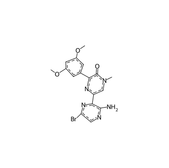 COc1cc(OC)cc(-c2nc(-c3nc(Br)cnc3N)cn(C)c2=O)c1